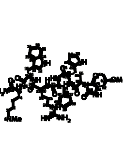 CNCCCC[C@H](NC(=O)[C@H](Cc1c[nH]c2ccccc12)NC(=O)[C@H](CCCNC(=N)N)NC(=O)[C@@H](Cc1ccccc1)NC(=O)[C@H](Cc1cnc[nH]1)NC(=O)[C@@H](C)N1C(=O)N[C@@H](CC(C)OC)C1=O)C(N)=O